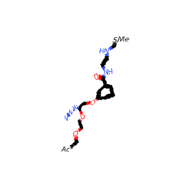 CSCNCCNC(=O)c1cccc(OCC(N=[N+]=[N-])OCCOCC(C)=O)c1